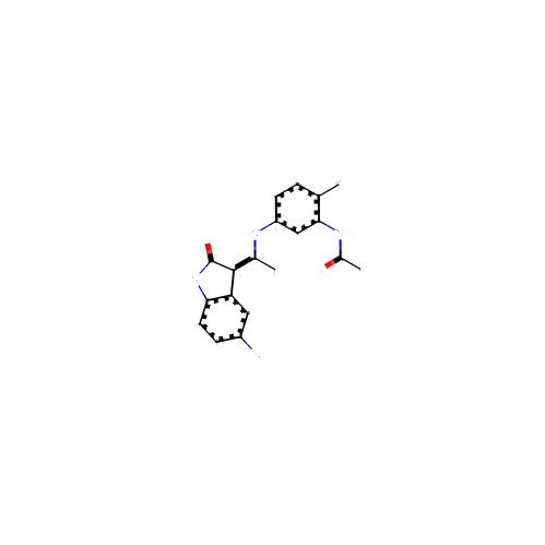 CC(=O)Nc1cc(N/C(C)=C2\C(=O)Nc3ccc(N)cc32)ccc1C